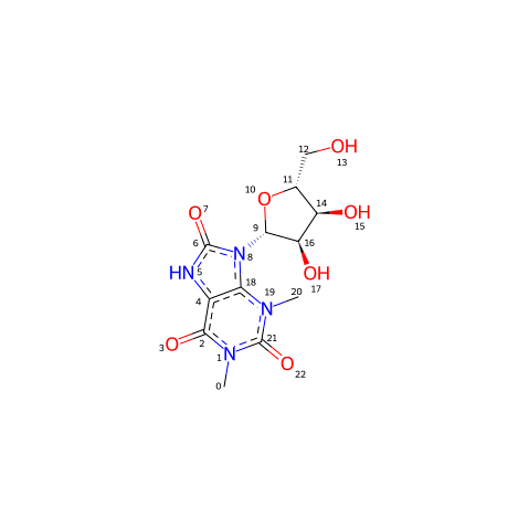 Cn1c(=O)c2[nH]c(=O)n([C@@H]3O[C@H](CO)[C@@H](O)[C@H]3O)c2n(C)c1=O